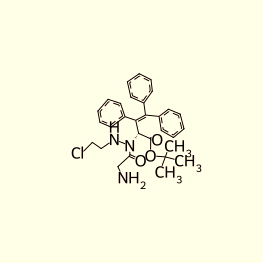 CC(C)(C)OC(=O)[C@@H](C(=C(c1ccccc1)c1ccccc1)c1ccccc1)N(NCCCl)C(=O)CN